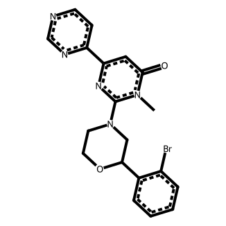 Cn1c(N2CCOC(c3ccccc3Br)C2)nc(-c2ccncn2)cc1=O